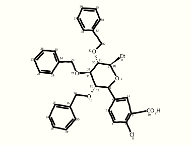 CC[C@H]1OC(c2ccc(Cl)c(C(=O)O)c2)[C@H](OCc2ccccc2)[C@@H](OCc2ccccc2)[C@@H]1OCc1ccccc1